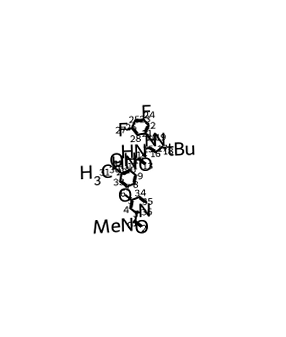 CNC(=O)c1cc(Oc2ccc(NC(=O)Nc3cc(C(C)(C)C)nn3-c3cc(F)cc(F)c3)c(C(C)O)c2)ccn1